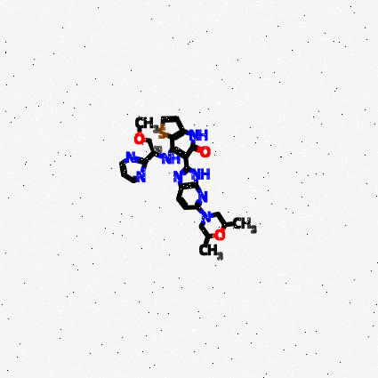 COC[C@@H](Nc1c(-c2nc3ccc(N4CC(C)OC(C)C4)nc3[nH]2)c(=O)[nH]c2ccsc12)c1ncccn1